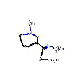 CON=C(CC(=O)O)C1=CCCN(C)C1